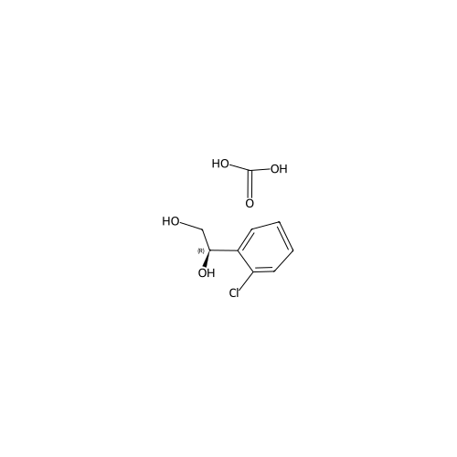 O=C(O)O.OC[C@H](O)c1ccccc1Cl